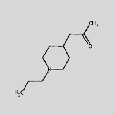 CCCN1CCC(CC(C)=O)CC1